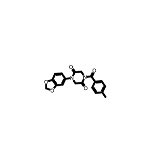 Cc1ccc(C(=O)N2CC(=O)N(c3ccc4c(c3)OCO4)CC2=O)cc1